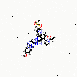 C=CC(=O)N1CCC[C@H]1c1ccc(N2C[C@H](CS(C)(=O)=O)C2(C)C)c2cnc(Nc3ccnc(N4CCC(OC)CC4)n3)cc12